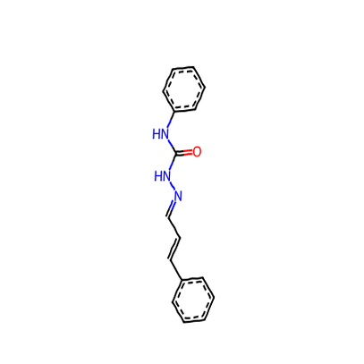 O=C(NN=CC=Cc1ccccc1)Nc1ccccc1